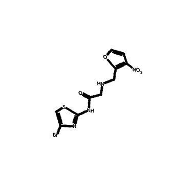 O=C(CNCc1occc1[N+](=O)[O-])Nc1nc(Br)cs1